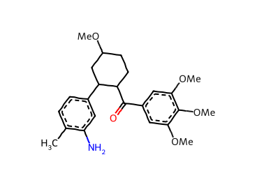 COc1cc(C(=O)C2CCC(OC)CC2c2ccc(C)c(N)c2)cc(OC)c1OC